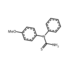 COc1ccc(N(C(N)=S)c2ccccc2)cc1